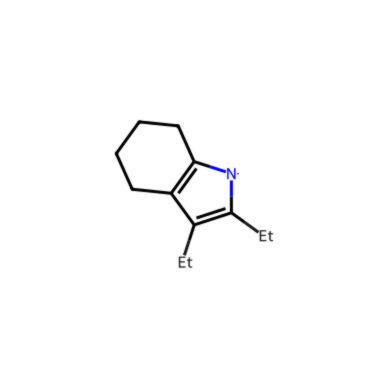 CCC1=C(CC)C2=C(CCCC2)[N]1